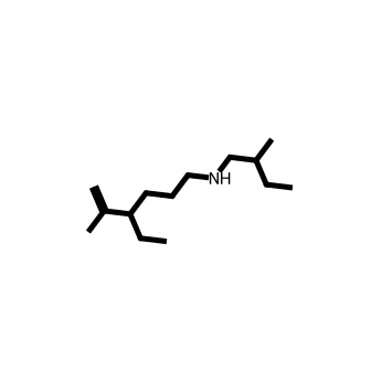 C=C(C)C(CC)CCCNCC(C)CC